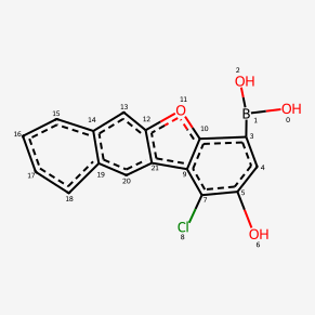 OB(O)c1cc(O)c(Cl)c2c1oc1cc3ccccc3cc12